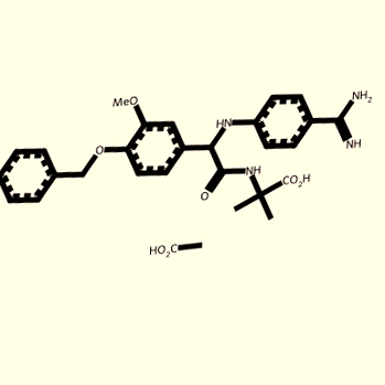 CC(=O)O.COc1cc(C(Nc2ccc(C(=N)N)cc2)C(=O)NC(C)(C)C(=O)O)ccc1OCc1ccccc1